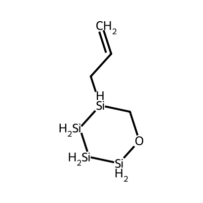 C=CC[SiH]1CO[SiH2][SiH2][SiH2]1